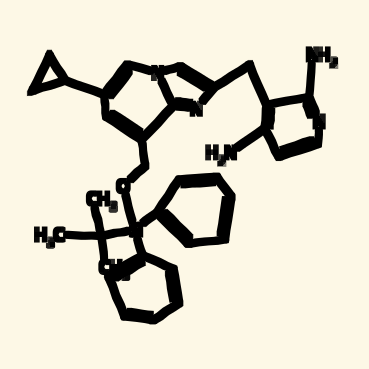 CC(C)(C)[Si](OCc1cc(C2CC2)cn2cc(Cc3c(N)ccnc3N)nc12)(c1ccccc1)c1ccccc1